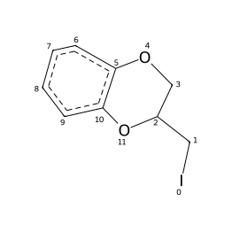 ICC1COc2ccccc2O1